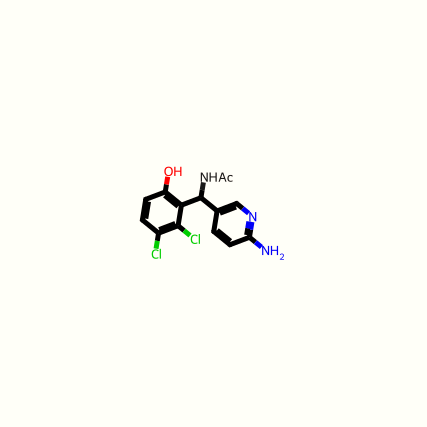 CC(=O)NC(c1ccc(N)nc1)c1c(O)ccc(Cl)c1Cl